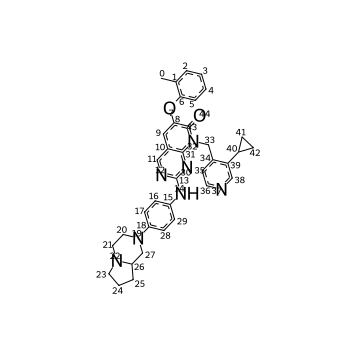 Cc1ccccc1Oc1cc2cnc(Nc3ccc(N4CCN5CCCC5C4)cc3)nc2n(Cc2ccncc2C2CC2)c1=O